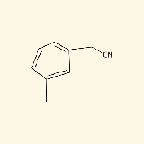 Cc1cccc([CH]C#N)c1